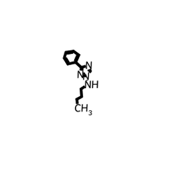 CCCCNn1cnc(-c2ccccc2)n1